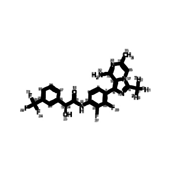 [2H]C([2H])([2H])c1nc(-c2ccc(NC(=O)[C@@H](O)c3cccc(C(F)(F)F)c3)c(F)c2F)c2c(N)nc(C)cn12